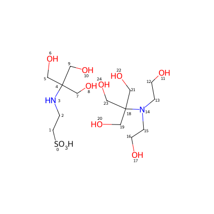 O=S(=O)(O)CCNC(CO)(CO)CO.OCCN(CCO)C(CO)(CO)CO